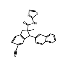 CC1(C(=O)Nc2nccs2)Cc2ccc(C#N)cc2C1c1ccc2ccccc2c1